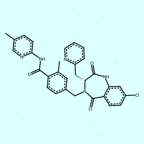 Cc1ccc(NC(=O)c2ccc(CN3C(=O)c4ccc(Cl)cc4NC(=O)[C@H]3Cc3ccccn3)cc2C)nc1